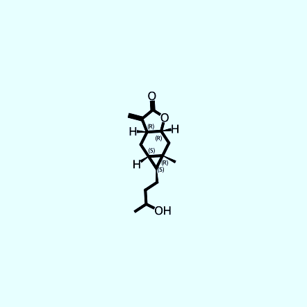 C=C1C(=O)O[C@@H]2C[C@]3(C)[C@@H](CCC(C)O)[C@@H]3C[C@H]12